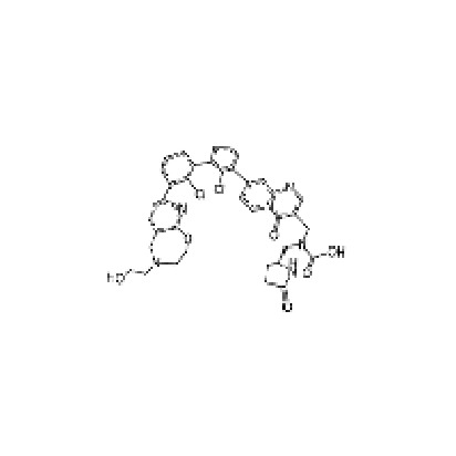 O=C1CC[C@@H](CN(Cc2cnc3cc(-c4cccc(-c5cccc(-c6ccc7c(n6)OCCN(CCO)C7)c5Cl)c4Cl)ccn3c2=O)C(=O)O)N1